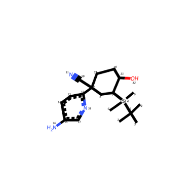 CC(C)(C)[Si](C)(C)C1CC(C#N)(c2ccc(N)cn2)CCC1O